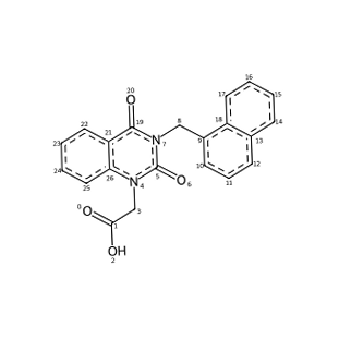 O=C(O)Cn1c(=O)n(Cc2cccc3ccccc23)c(=O)c2ccccc21